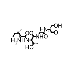 CC[C@H](C)[C@H](N)C(=O)N[C@H](C(=O)NCC(=O)N[C@H]([C]=O)CO)[C@H](C)O